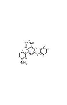 Nc1cccc(/C=N/N(Cc2ccccc2)Cc2ccccc2)c1